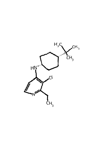 CCc1nccc(N[C@H]2CC[C@@H](C(C)(C)C)CC2)c1Cl